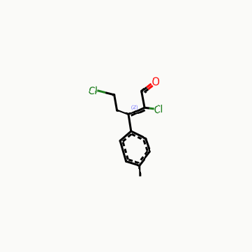 Cc1ccc(/C(CCCl)=C(\Cl)C=O)cc1